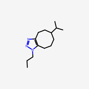 CCCn1nnc2c1CCCC(C(C)C)CC2